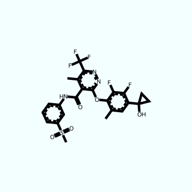 Cc1cc(C2(O)CC2)c(F)c(F)c1Oc1nnc(C(F)(F)F)c(C)c1C(=O)Nc1cccc(S(C)(=O)=O)c1